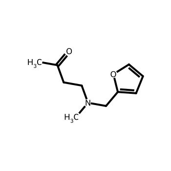 CC(=O)CCN(C)Cc1ccco1